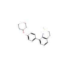 O=S1(=O)CCc2cccc(-c3ccc(OC4CCOCC4)cc3)c2N1